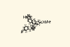 COc1cccc(Sc2c(Nc3nnc(Cc4cccc(F)c4)o3)ccc3[nH]ncc23)c1